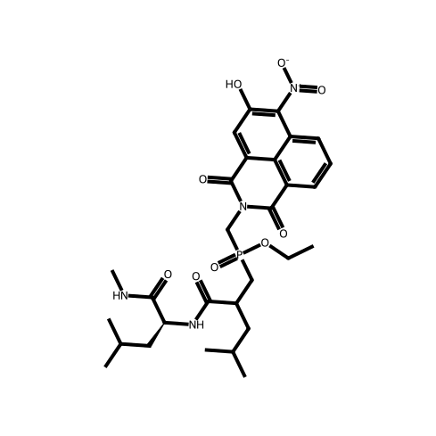 CCOP(=O)(CC(CC(C)C)C(=O)N[C@@H](CC(C)C)C(=O)NC)CN1C(=O)c2cccc3c([N+](=O)[O-])c(O)cc(c23)C1=O